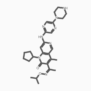 C/C(=N/OC(C)C)c1c(C)c2cnc(Nc3cnc(N4CCNCC4)cn3)cc2n(C2CCCC2)c1=O